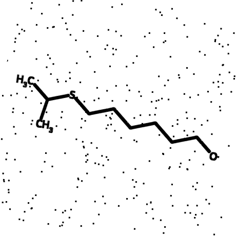 CC(C)SCCCCCC[O]